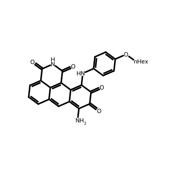 CCCCCCOc1ccc(NC2=c3c4c5c(cccc5cc3=C(N)C(=O)C2=O)C(=O)NC4=O)cc1